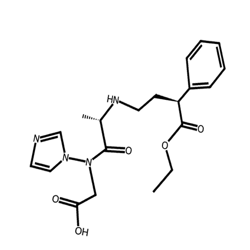 CCOC(=O)[C@@H](CCN[C@@H](C)C(=O)N(CC(=O)O)n1ccnc1)c1ccccc1